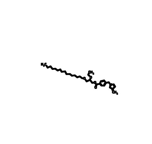 CCCCCCCCCCCCCCCCOCC(COC(=O)c1ccc(CN2C=CN(C)C2)cc1)OCC